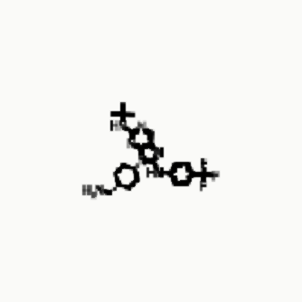 CC(C)(C)Nc1ncc2nc(Nc3ccc(C(F)(F)F)cc3)n([C@H]3CC[C@@H](CN)CC3)c2n1